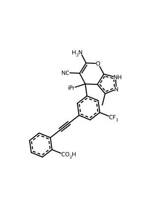 Cc1n[nH]c2c1C(c1cc(C#Cc3ccccc3C(=O)O)cc(C(F)(F)F)c1)(C(C)C)C(C#N)=C(N)O2